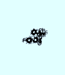 O=CC(Cn1nc(-c2ccccc2)c(Cl)c1C(F)(F)F)N1CCN(c2ccc(F)cc2)CC1